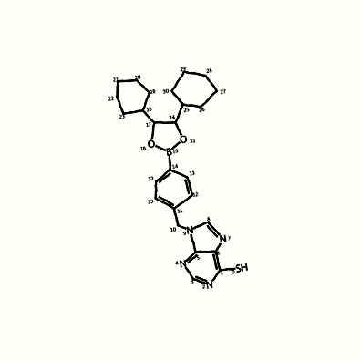 Sc1ncnc2c1ncn2Cc1ccc(B2OC(C3CCCCC3)C(C3CCCCC3)O2)cc1